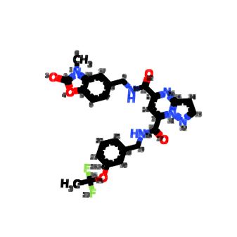 Cn1c(=O)oc2ccc(CNC(=O)c3cc(C(=O)NCc4cccc(OC(C)(F)F)c4)n4nccc4n3)cc21